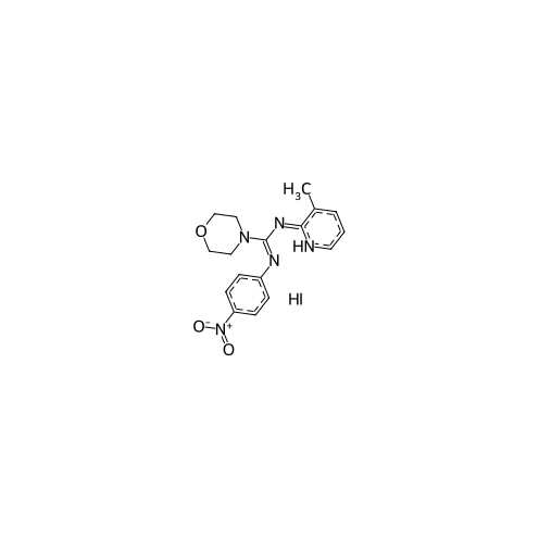 Cc1ccc[nH]c1=NC(=Nc1ccc([N+](=O)[O-])cc1)N1CCOCC1.I